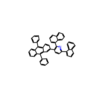 c1ccc(-c2c3ccccc3c(-c3ccccc3)c3cc(-c4ccc(-c5cccc6ccccc56)nc4-c4cccc5ccccc45)ccc23)cc1